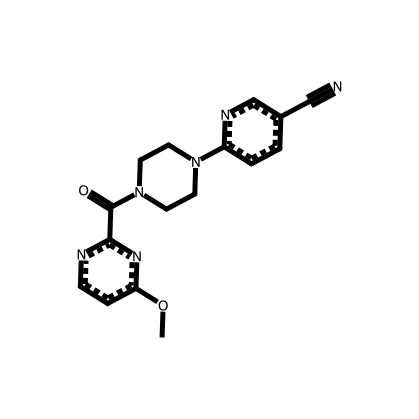 COc1ccnc(C(=O)N2CCN(c3ccc(C#N)cn3)CC2)n1